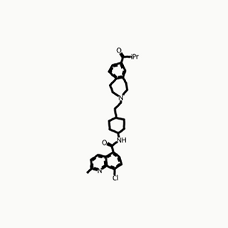 Cc1ccc2c(C(=O)NC3CCC(CCN4CCc5ccc(C(=O)C(C)C)cc5CC4)CC3)ccc(Cl)c2n1